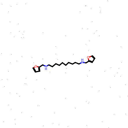 c1coc(CNCCCCCCCCCCNCc2ccco2)c1